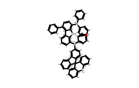 c1ccc(-c2ccc(N(c3ccccc3)c3ccccc3)c3oc4c(N(c5ccccc5)c5ccc6c(c5)-c5ccccc5C65c6ccccc6Sc6ccccc65)cccc4c23)cc1